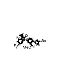 COC(=O)c1cc(NC(=O)C2(c3ccc(C(F)(F)F)cc3F)CC2)ccc1-n1cc(C(C)(C)C)cn1